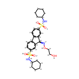 O=S(=O)(NC1CCCCC1)c1ccc2c(c1)C(=NOCCO)c1cc(S(=O)(=O)NC3CCCCC3)ccc1-2